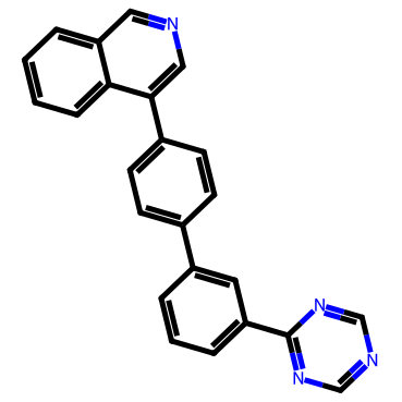 c1cc(-c2ccc(-c3cncc4ccccc34)cc2)cc(-c2ncncn2)c1